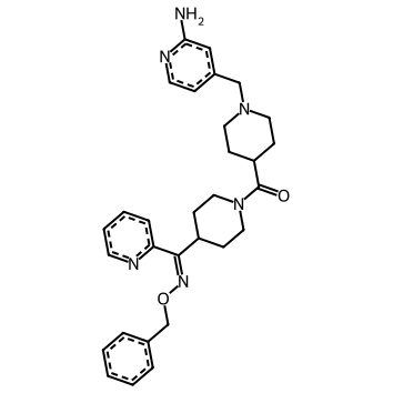 Nc1cc(CN2CCC(C(=O)N3CCC(C(=NOCc4ccccc4)c4ccccn4)CC3)CC2)ccn1